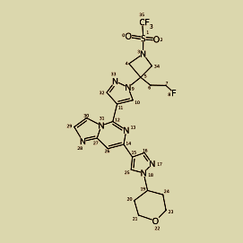 O=S(=O)(N1CC(CCF)(n2cc(-c3nc(-c4cnn(C5CCOCC5)c4)cc4nccn34)cn2)C1)C(F)(F)F